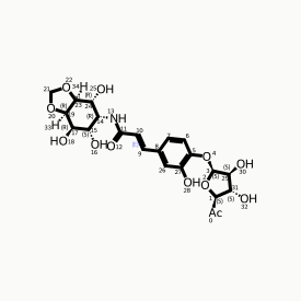 CC(=O)[C@H]1O[C@@H](Oc2ccc(/C=C/C(=O)N[C@@H]3[C@H](O)[C@@H](O)[C@H]4OCO[C@H]4[C@@H]3O)cc2O)[C@@H](O)[C@@H]1O